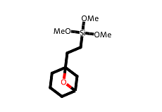 CO[Si](CCC12CCCC(C1)O2)(OC)OC